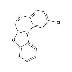 Clc1ccc2ccc3oc4ccccc4c3c2c1